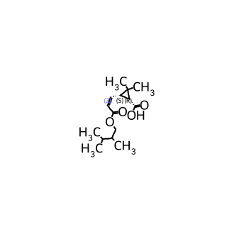 CC(C)C(C)COC(=O)/C=C\[C@H]1[C@@H](C(=O)O)C1(C)C